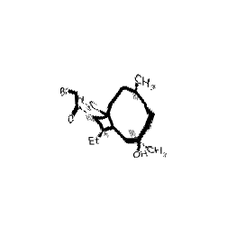 CC[C@@H]1C2C[C@](C)(O)CCC[C@H](C)CCC2(C)[C@H]1C(=O)CBr